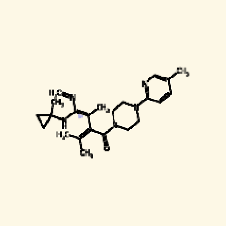 C=N/C(NC1(C)CC1)=C(\C)C(C(=O)N1CCN(c2ccc(C)cn2)CC1)=C(C)C